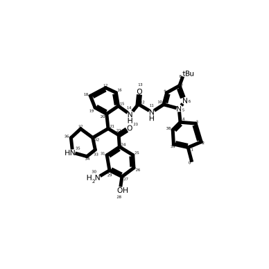 Cc1ccc(-n2nc(C(C)(C)C)cc2NC(=O)Nc2ccccc2C(C(=O)c2ccc(O)c(N)c2)C2CCNCC2)cc1